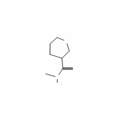 CON(C)C(=O)C1CCCOC1